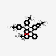 Cc1cc2c3c(c1)N(c1ccccc1-c1ccc(C(C)(C)C)cc1)c1cc4sc(C(C)(C)C)cc4cc1B3c1cc(C(C)(C)C)ccc1N2c1ccc(C(C)(C)C)cc1